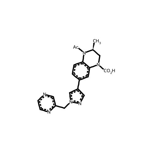 CC(=O)N1c2ccc(-c3cnn(Cc4cnccn4)c3)cc2N(C(=O)O)C[C@@H]1C